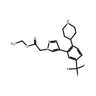 CCOC(=O)Cn1cc(-c2cc(C(F)(F)F)ccc2C2CCNCC2)cn1